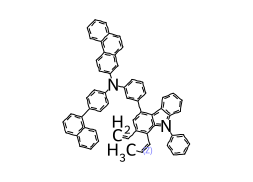 C=Cc1cc(-c2cccc(N(c3ccc(-c4cccc5ccccc45)cc3)c3ccc4c(ccc5ccccc54)c3)c2)c2c3ccccc3n(-c3ccccc3)c2c1/C=C\C